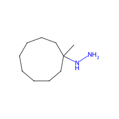 CC1(NN)CCCCCCCC1